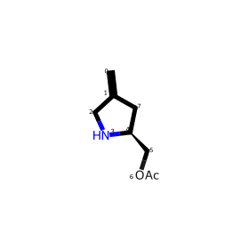 C=C1CN[C@H](COC(C)=O)C1